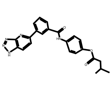 CC(C)CC(=O)Oc1ccc(NC(=O)c2cccc(-c3ccc4[nH]nnc4n3)c2)cc1